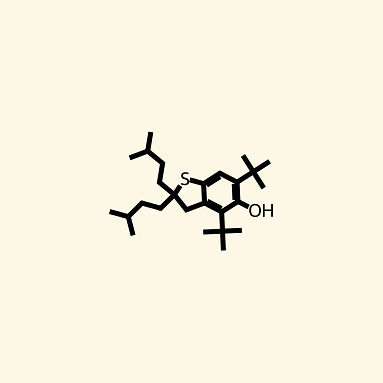 CC(C)CCC1(CCC(C)C)Cc2c(cc(C(C)(C)C)c(O)c2C(C)(C)C)S1